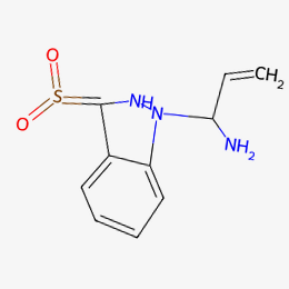 C=CC(N)n1[nH]c(=S(=O)=O)c2ccccc21